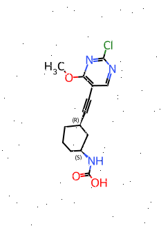 COc1nc(Cl)ncc1C#C[C@@H]1CCC[C@H](NC(=O)O)C1